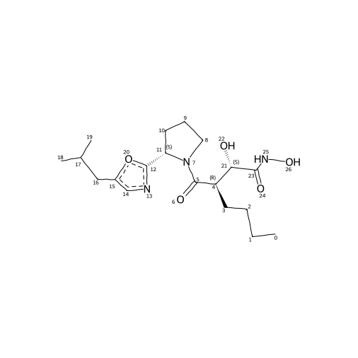 CCCC[C@@H](C(=O)N1CCC[C@H]1c1ncc(CC(C)C)o1)[C@H](O)C(=O)NO